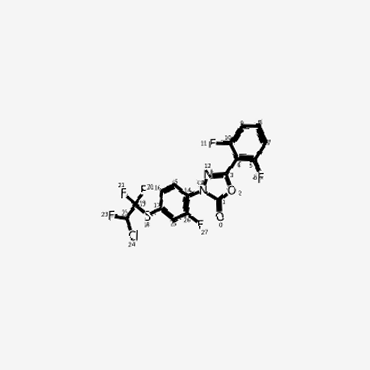 O=c1oc(-c2c(F)cccc2F)nn1-c1ccc(SC(F)(F)C(F)Cl)cc1F